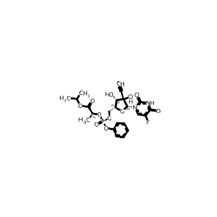 C#CC1(O)[C@@H](O)[C@@H](CO[P@](=O)(Oc2ccccc2)O[C@@H](C)C(=O)OC(C)C)O[C@H]1n1cc(F)c(=O)[nH]c1=O